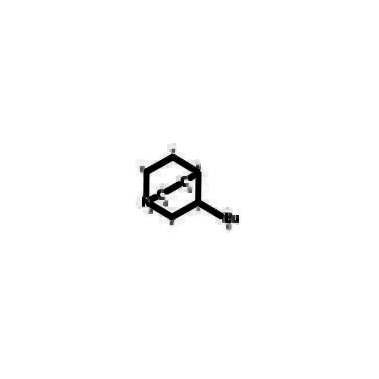 CCC(C)C1CN2CCC1CC2